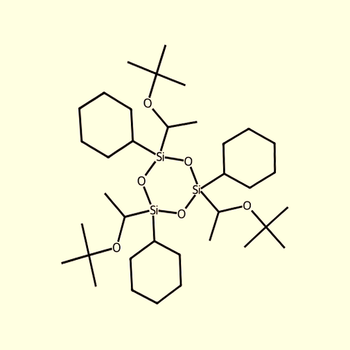 CC(OC(C)(C)C)[Si]1(C2CCCCC2)O[Si](C2CCCCC2)(C(C)OC(C)(C)C)O[Si](C2CCCCC2)(C(C)OC(C)(C)C)O1